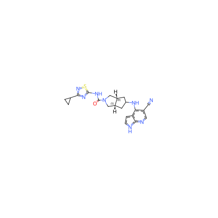 N#Cc1cnc2[nH]ccc2c1NC1C[C@@H]2CN(C(=O)Nc3nc(C4CC4)ns3)C[C@@H]2C1